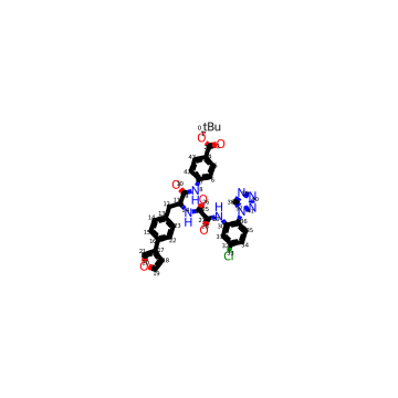 CC(C)(C)OC(=O)c1ccc(NC(=O)C(Cc2ccc(-c3ccoc3)cc2)NC(=O)C(=O)Nc2cc(Cl)ccc2-n2cnnn2)cc1